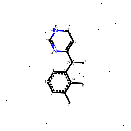 Cc1cccc([C@H](C)C2=CCNC=N2)c1C